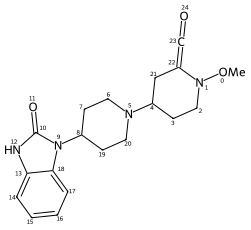 CON1CCC(N2CCC(n3c(=O)[nH]c4ccccc43)CC2)CC1=C=O